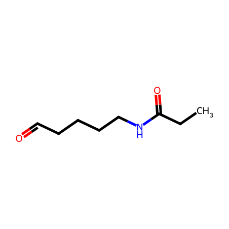 CCC(=O)NCCCCC=O